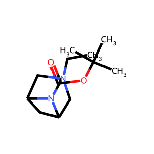 CCN1CC2CC(C1)N2C(=O)OC(C)(C)C